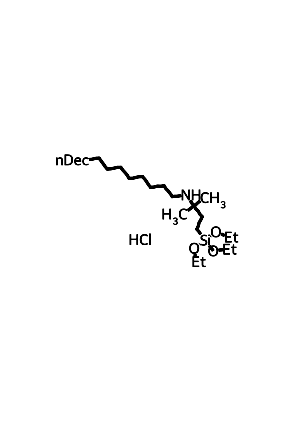 CCCCCCCCCCCCCCCCCCNC(C)(C)CC[Si](OCC)(OCC)OCC.Cl